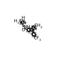 Cc1nc(CNC(=O)c2ccc3c(c2)c2cn(C)nc2n3-c2ccc(C(F)(F)F)cc2)n[nH]1